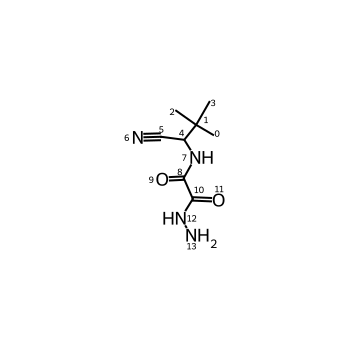 CC(C)(C)C(C#N)NC(=O)C(=O)NN